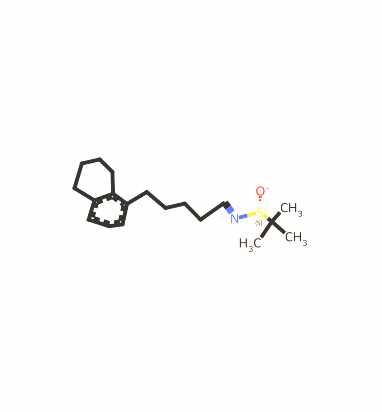 CC(C)(C)[S@@+]([O-])/N=C/CCCCc1cccc2c1CCCC2